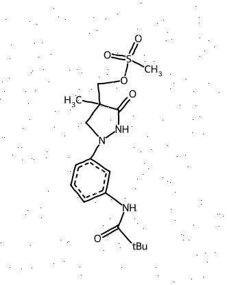 CC(C)(C)C(=O)Nc1cccc(N2CC(C)(COS(C)(=O)=O)C(=O)N2)c1